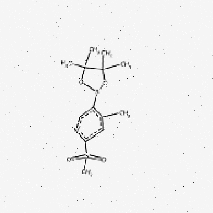 Cc1cc(S(C)(=O)=O)ncc1B1OC(C)(C)C(C)(C)O1